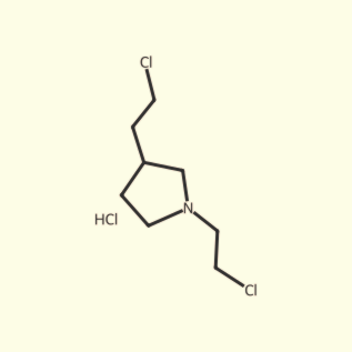 Cl.ClCCC1CCN(CCCl)C1